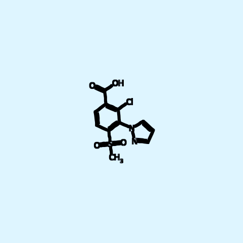 CS(=O)(=O)c1ccc(C(=O)O)c(Cl)c1-n1cccn1